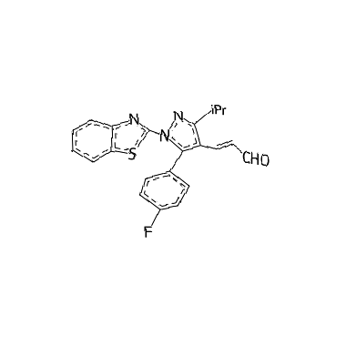 CC(C)c1nn(-c2nc3ccccc3s2)c(-c2ccc(F)cc2)c1/C=C/C=O